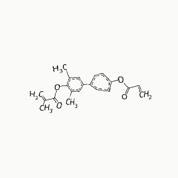 C=CC(=O)Oc1ccc(-c2cc(C)c(OC(=O)C(=C)C)c(C)c2)cc1